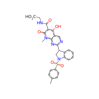 Cc1ccc(S(=O)(=O)N2CC(c3ncc4c(O)c(C(=O)NCC(=O)O)c(=O)n(C)c4n3)c3ccccc32)cc1